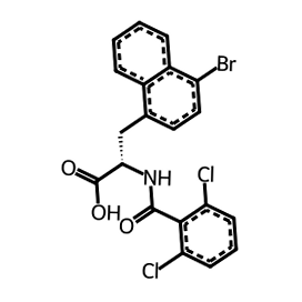 O=C(N[C@@H](Cc1ccc(Br)c2ccccc12)C(=O)O)c1c(Cl)cccc1Cl